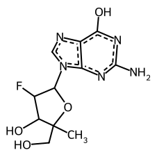 CC1(CO)OC(n2cnc3c(O)nc(N)nc32)C(F)C1O